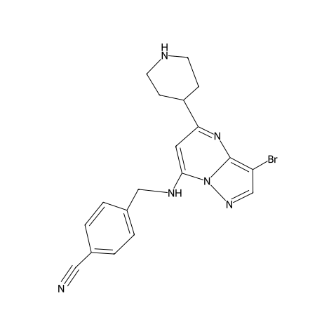 N#Cc1ccc(CNc2cc(C3CCNCC3)nc3c(Br)cnn23)cc1